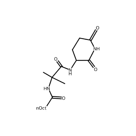 CCCCCCCCC(=O)NC(C)(C)C(=O)NC1CCC(=O)NC1=O